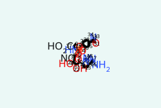 C[C@H](NP(=O)(OC[C@@]1(C#N)O[C@@H](c2ccc3c(N)ncnn23)[C@H](O)[C@@H]1O)Oc1ccc(C(=O)N(C)C)cc1)C(=O)O